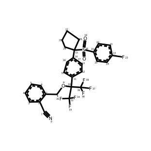 N#Cc1ccccc1COC(c1ccc(C2(S(=O)(=O)c3ccc(F)cc3)CCCC2)cc1)(C(F)(F)F)C(F)(F)F